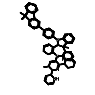 CC1C=C(N2C3=C(C=CCC3)C3N(c4ccc(-c5ccc6c(c5)-c5ccccc5C6(C)C)cc4)c4ccccc4C3(C)c3ccccc32)C(C2CCC=CN2)=NC1C1C=CC=CN1